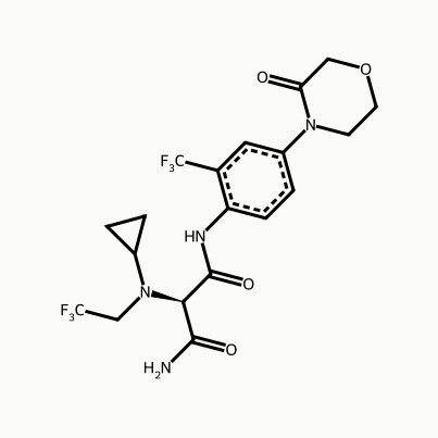 NC(=O)[C@H](C(=O)Nc1ccc(N2CCOCC2=O)cc1C(F)(F)F)N(CC(F)(F)F)C1CC1